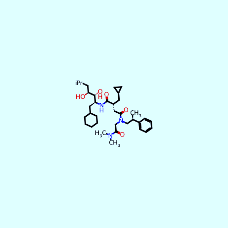 CC(C)C[C@H](O)[C@H](O)[C@H](CC1CCCCC1)NC(=O)[C@@H](CC(=O)N(CC(=O)N(C)C)C[C@@H](C)c1ccccc1)CC1CC1